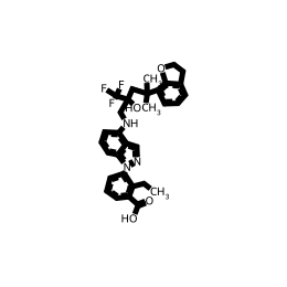 CCc1c(C(=O)O)cccc1-n1ncc2c(NCC(O)(CC(C)(C)c3cccc4c3OCC4)C(F)(F)F)cccc21